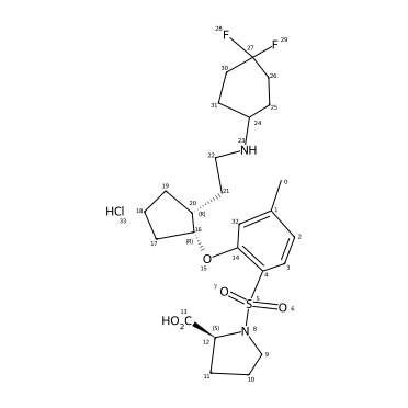 Cc1ccc(S(=O)(=O)N2CCC[C@H]2C(=O)O)c(O[C@@H]2CCC[C@@H]2CCNC2CCC(F)(F)CC2)c1.Cl